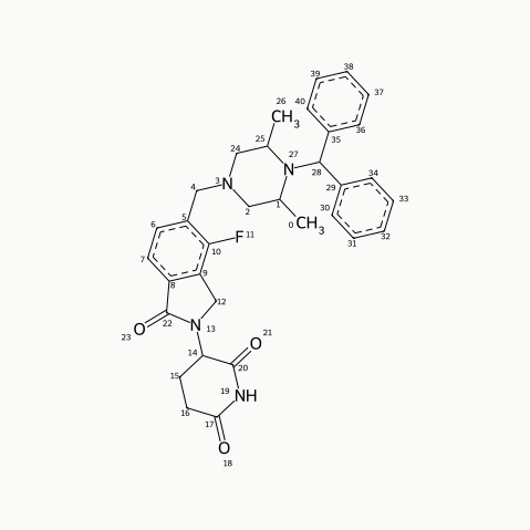 CC1CN(Cc2ccc3c(c2F)CN(C2CCC(=O)NC2=O)C3=O)CC(C)N1C(c1ccccc1)c1ccccc1